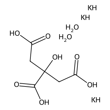 O.O.O=C(O)CC(O)(CC(=O)O)C(=O)O.[KH].[KH].[KH]